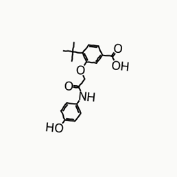 CC(C)(C)c1ccc(C(=O)O)cc1OCC(=O)Nc1ccc(O)cc1